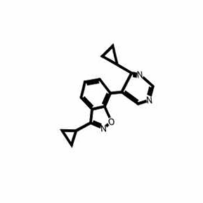 c1cc(-c2cncnc2C2CC2)c2onc(C3CC3)c2c1